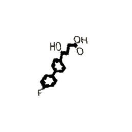 O=C(O)CCC(O)c1ccc(-c2ccc(F)cc2)cc1